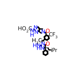 CC(C)CC[C@]1(c2ccccc2)NC(=N)N([C@H](C)c2ccc(C(F)(F)F)c(C(=O)N3Cc4cnc(NC(=O)O)nc4C3)c2)C1=O